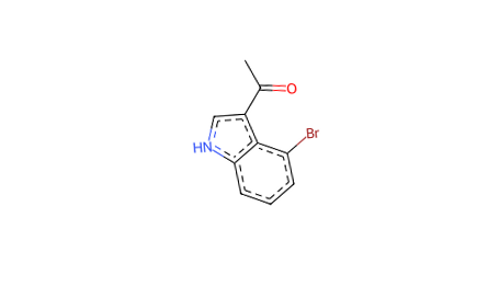 CC(=O)c1c[nH]c2cccc(Br)c12